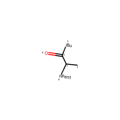 CCCCCC(C)C(=O)C(C)CC